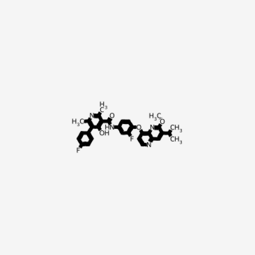 COc1nc2c(Oc3ccc(NC(=O)c4c(C)nc(C)c(-c5ccc(F)cc5)c4O)cc3F)ccnc2cc1C(C)C